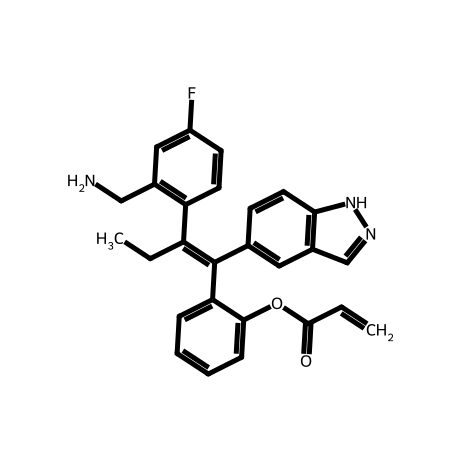 C=CC(=O)Oc1ccccc1/C(=C(\CC)c1ccc(F)cc1CN)c1ccc2[nH]ncc2c1